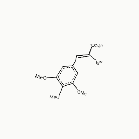 CCC/C(=C\c1cc(OC)c(OC)c(OC)c1)C(=O)O